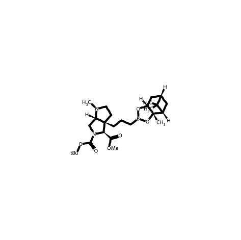 COC(=O)[C@H]1N(C(=O)OC(C)(C)C)C[C@@H]2N(C)CC[C@@]21CCCB1O[C@@H]2C[C@@H]3C[C@@H](C3(C)C)[C@]2(C)O1